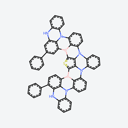 c1ccc(-c2cc3c4c(c2)B2c5sc6c7c5N(c5ccccc5N7c5cccc7c5B6c5ccc(-c6ccccc6)c6c5N7c5ccccc5N6)c5cccc(c52)N4c2ccccc2N3)cc1